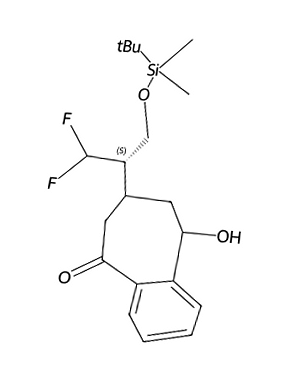 CC(C)(C)[Si](C)(C)OC[C@@H](C(F)F)C1CC(=O)c2ccccc2C(O)C1